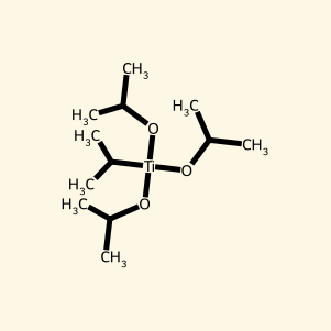 CC(C)[O][Ti]([O]C(C)C)([O]C(C)C)[CH](C)C